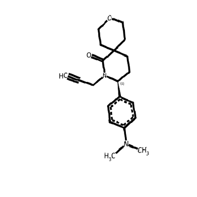 C#CCN1C(=O)C2(CCOCC2)CC[C@H]1c1ccc(N(C)C)cc1